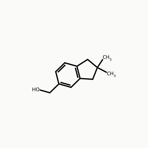 CC1(C)Cc2ccc(CO)cc2C1